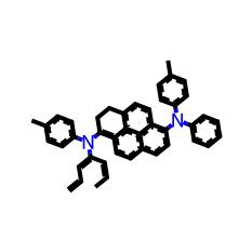 C=C/C=C(\C=C/C)N(C1=c2ccc3ccc(N(c4ccccc4)c4ccc(C)cc4)c4ccc(c2c34)CC1)c1ccc(C)cc1